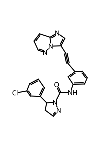 O=C(Nc1cccc(C#Cc2cnc3cccnn23)c1)N1N=CCC1c1cccc(Cl)c1